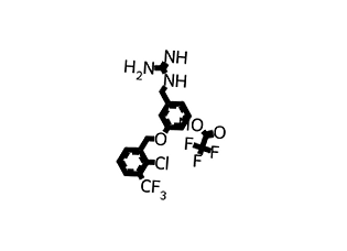 N=C(N)NCc1cccc(OCc2cccc(C(F)(F)F)c2Cl)c1.O=C(O)C(F)(F)F